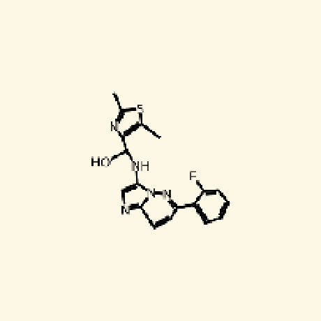 Cc1nc(C(O)Nc2cnc3ccc(-c4ccccc4F)nn23)c(C)s1